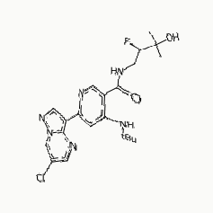 CC(C)(C)Nc1cc(-c2cnn3cc(Cl)cnc23)ncc1C(=O)NC[C@@H](F)C(C)(C)O